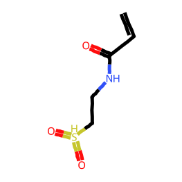 C=CC(=O)NCC[SH](=O)=O